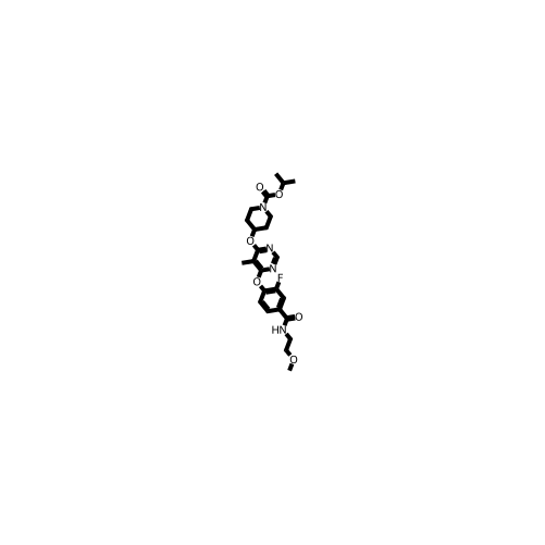 COCCNC(=O)c1ccc(Oc2ncnc(OC3CCN(C(=O)OC(C)C)CC3)c2C)c(F)c1